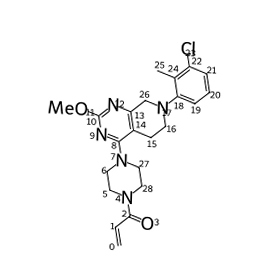 C=CC(=O)N1CCN(c2nc(OC)nc3c2CCN(c2cccc(Cl)c2C)C3)CC1